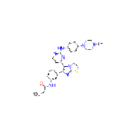 CCN1CCN(c2ccc(Nc3nccc(-c4c(-c5cccc(NC(=O)CC(C)(C)C)c5)nc5n4CCS5)n3)cc2)CC1